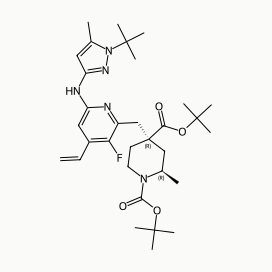 C=Cc1cc(Nc2cc(C)n(C(C)(C)C)n2)nc(C[C@@]2(C(=O)OC(C)(C)C)CCN(C(=O)OC(C)(C)C)[C@H](C)C2)c1F